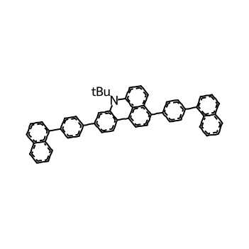 CC(C)(C)N1c2cc(-c3ccc(-c4cccc5ccccc45)cc3)ccc2-c2ccc(-c3ccc(-c4cccc5ccccc45)cc3)c3cccc1c23